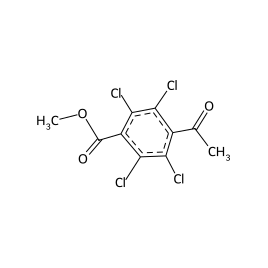 COC(=O)c1c(Cl)c(Cl)c(C(C)=O)c(Cl)c1Cl